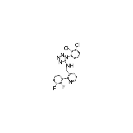 Fc1cccc(-c2ncccc2CNc2nnnn2-c2cccc(Cl)c2Cl)c1F